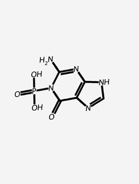 Nc1nc2[nH]cnc2c(=O)n1P(=O)(O)O